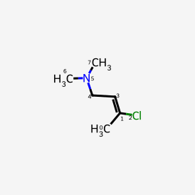 C/C(Cl)=C\CN(C)C